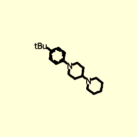 CC(C)(C)c1ccc(N2CCC(N3CCCCC3)CC2)cc1